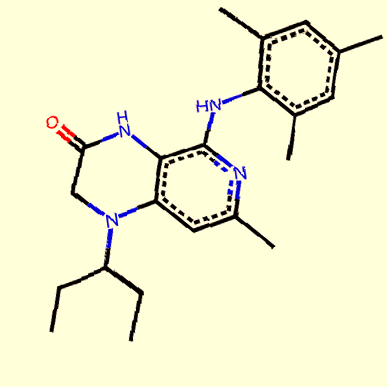 CCC(CC)N1CC(=O)Nc2c1cc(C)nc2Nc1c(C)cc(C)cc1C